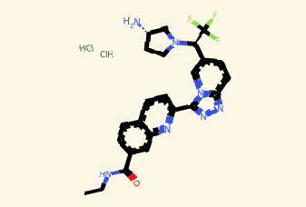 CCNC(=O)c1ccc2ccc(-c3nnc4ccc([C@@H](N5CC[C@H](N)C5)C(F)(F)F)cn34)nc2c1.Cl.Cl